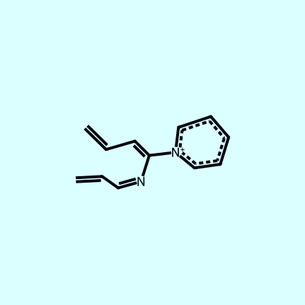 C=C/C=N\C(=C/C=C)[n+]1ccccc1